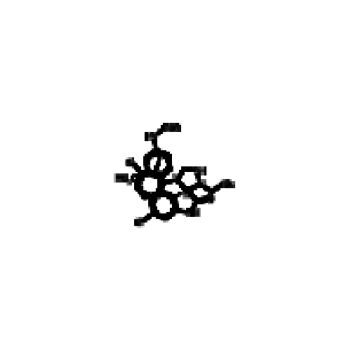 CC(C)(C)C[C@@H]1NC[C@H](c2cccc(Cl)c2F)[C@]12C(=O)Nc1cc(Cl)cc(-c3ccc(NC=O)cc3C(=O)O)c12